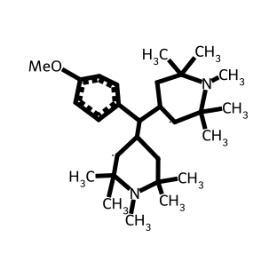 COc1ccc(C(C2[CH]C(C)(C)N(C)C(C)(C)C2)C2[CH]C(C)(C)N(C)C(C)(C)C2)cc1